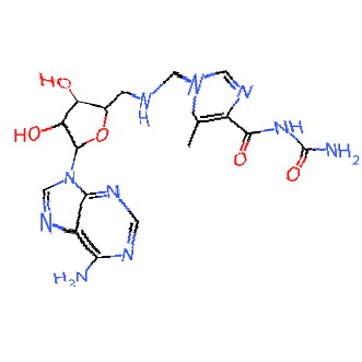 Cc1c(C(=O)NC(N)=O)ncn1CNCC1OC(n2cnc3c(N)ncnc32)C(O)C1O